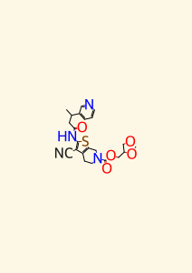 CC(CC(=O)Nc1sc2c(c1C#N)CCN(C(=O)OCC1COCO1)C2)c1cccnc1